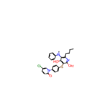 CCCCc1nc(O)c(Sc2ccc(-n3cc(Cl)ccc3=O)cc2)c(O)c1N(C)c1ccccc1